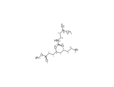 [CH2]C([CH2])OC(=O)CCC(CCCCC(C)C)OC(=O)NCCN(C)CC